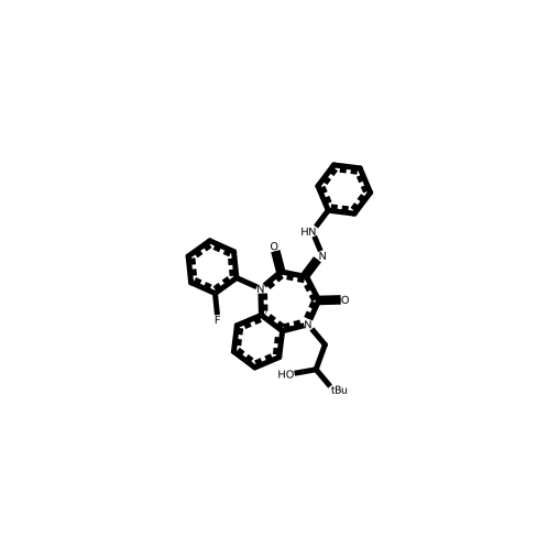 CC(C)(C)C(O)Cn1c(=O)c(=NNc2ccccc2)c(=O)n(-c2ccccc2F)c2ccccc21